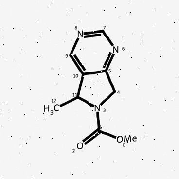 COC(=O)N1Cc2ncncc2C1C